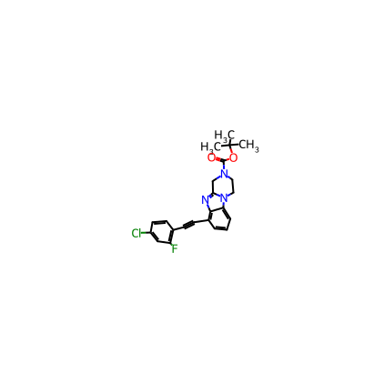 CC(C)(C)OC(=O)N1CCn2c(nc3c(C#Cc4ccc(Cl)cc4F)cccc32)C1